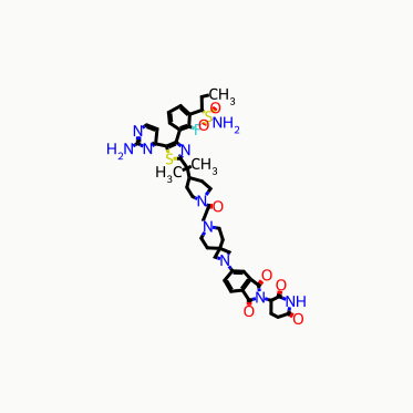 CCC(c1cccc(-c2nc(C(C)(C)C3CCN(C(=O)CN4CCC5(CC4)CN(c4ccc6c(c4)C(=O)N(C4CCC(=O)NC4=O)C6=O)C5)CC3)sc2-c2ccnc(N)n2)c1F)S(N)(=O)=O